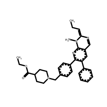 CC/C=C1/N=Cc2cc(-c3ccccc3)c(-c3ccc(CN4CCC(C(=O)OCC)CC4)cc3)nc2N1N